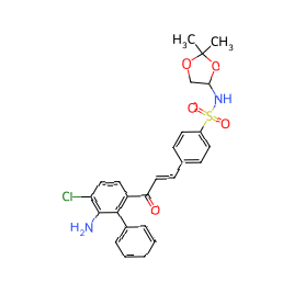 CC1(C)OCC(NS(=O)(=O)c2ccc(C=CC(=O)c3ccc(Cl)c(N)c3-c3ccccc3)cc2)O1